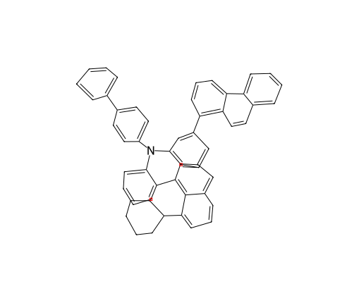 c1ccc(-c2ccc(N(c3cccc(-c4cccc5c4ccc4ccccc45)c3)c3ccccc3-c3cccc4cccc(C5CCCCC5)c34)cc2)cc1